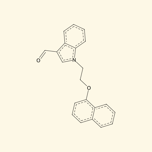 O=Cc1cn(CCOc2cccc3ccccc23)c2ccccc12